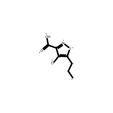 CCCc1snc(C(=O)O)c1Cl